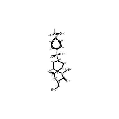 CCCN1C(=O)C(CC(C)C)NC(=O)C12CCN(S(=O)(=O)c1ccc(S(C)(=O)=O)cc1)CC2